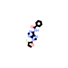 O=C(Nc1ncnc2c1ncn2C1OC=CC1F)c1ccccc1